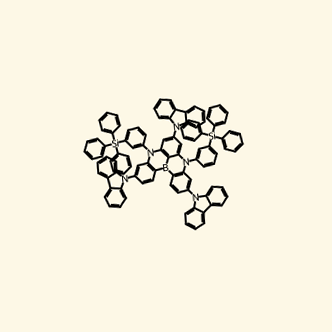 c1ccc([Si](c2ccccc2)(c2ccccc2)c2cccc(N3c4cc(-n5c6ccccc6c6ccccc65)ccc4B4c5ccc(-n6c7ccccc7c7ccccc76)cc5N(c5cccc([Si](c6ccccc6)(c6ccccc6)c6ccccc6)c5)c5cc(-n6c7ccccc7c7ccccc76)cc3c54)c2)cc1